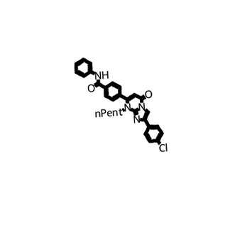 CCCCCn1c(-c2ccc(C(=O)Nc3ccccc3)cc2)cc(=O)n2cc(-c3ccc(Cl)cc3)nc12